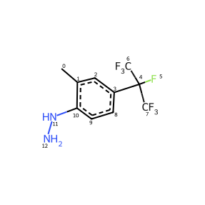 Cc1cc(C(F)(C(F)(F)F)C(F)(F)F)ccc1NN